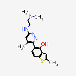 Cc1cc2c(O)c(-c3nnc(NCCN(C)C)cc3C)ccc2s1